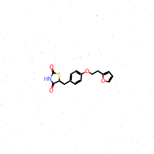 O=C1NC(=O)C(Cc2ccc(OCCc3ccco3)cc2)S1